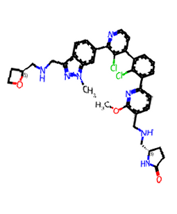 COc1nc(-c2cccc(-c3ccnc(-c4ccc5c(CNC[C@@H]6CCO6)nn(C)c5c4)c3Cl)c2Cl)ccc1CNC[C@@H]1CCC(=O)N1